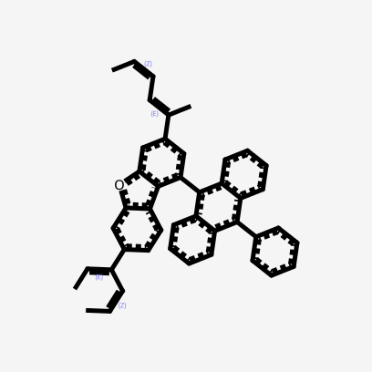 C/C=C\C=C(/C)c1cc(-c2c3ccccc3c(-c3ccccc3)c3ccccc23)c2c(c1)oc1cc(C(/C=C\C)=C/C)ccc12